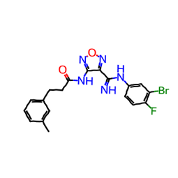 Cc1cccc(CCC(=O)Nc2nonc2C(=N)Nc2ccc(F)c(Br)c2)c1